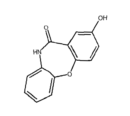 O=C1Nc2ccccc2Oc2ccc(O)cc21